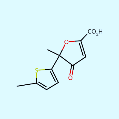 Cc1ccc(C2(C)OC(C(=O)O)=CC2=O)s1